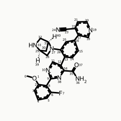 COc1cccc(F)c1-c1ncc(-c2ccc(-c3cnccc3C#N)cc2N2C[C@@H]3C[C@H]2CN3)c(C(N)=O)n1